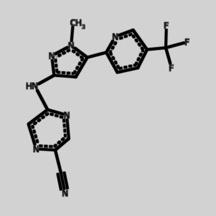 Cn1nc(Nc2cnc(C#N)cn2)cc1-c1ccc(C(F)(F)F)cn1